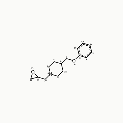 c1ccc(OCC2CCN(CC3CO3)CC2)cc1